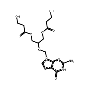 Nc1nc2c(ncn2COC(COC(=O)CCO)COC(=O)CCO)c(=O)[nH]1